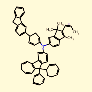 C/C=C\C1=C(C)c2ccc(N(C3=CCC(c4ccc5c(c4)-c4ccccc4C5)C=C3)c3ccc4c(c3)C3=C(C=CCC=C3)C4(c3ccccc3)C3C=CC=CCC3)cc2C1(C)C